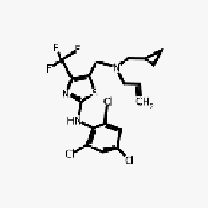 C=CCN(Cc1sc(Nc2c(Cl)cc(Cl)cc2Cl)nc1C(F)(F)F)CC1CC1